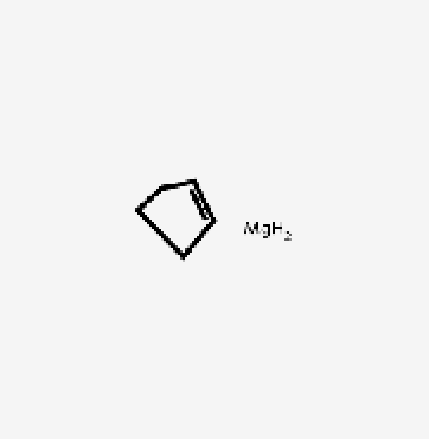 C1=CCCC1.[MgH2]